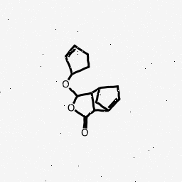 O=C1OC(OC2C=CCC2)C2C3CC=C(C3)C12